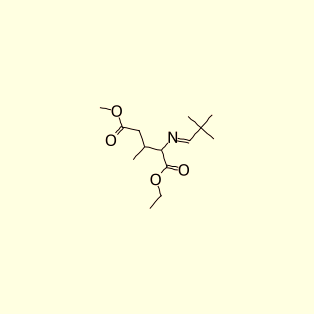 CCOC(=O)C(/N=C/C(C)(C)C)C(C)CC(=O)OC